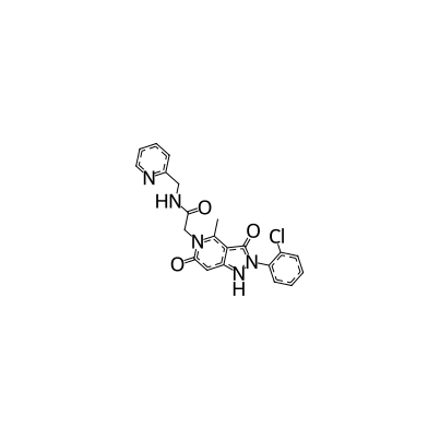 Cc1c2c(=O)n(-c3ccccc3Cl)[nH]c2cc(=O)n1CC(=O)NCc1ccccn1